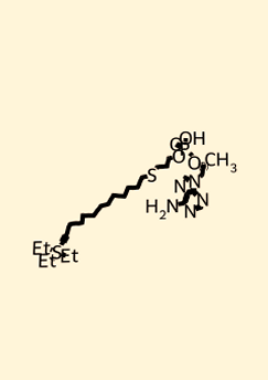 CCS(C#CCCCCCCCCCCCSCCCOP(=O)(O)CO[C@H](C)Cn1cnc2c(N)ncnc21)(CC)CC